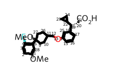 COc1ccc(F)c(C2(OC)CCC(COc3cccc([C@@H](CC(=O)O)C4CC4)c3)CC2)c1